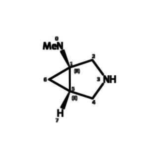 CN[C@@]12CNC[C@@H]1C2